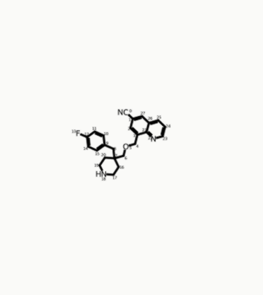 N#Cc1cc(COCC2(Cc3ccc(F)cc3)CCNCC2)c2ncccc2c1